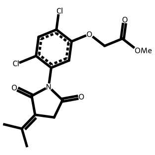 COC(=O)COc1cc(N2C(=O)CC(=C(C)C)C2=O)c(Cl)cc1Cl